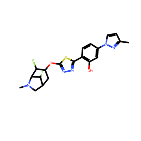 Cc1ccn(-c2ccc(-c3nnc(OC4CC5CN(C)C(C5F)C4F)s3)c(O)c2)n1